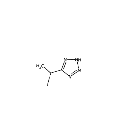 CC(I)c1nn[nH]n1